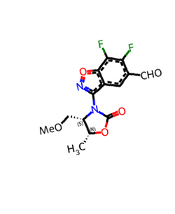 COC[C@H]1[C@@H](C)OC(=O)N1c1noc2c(F)c(F)c(C=O)cc12